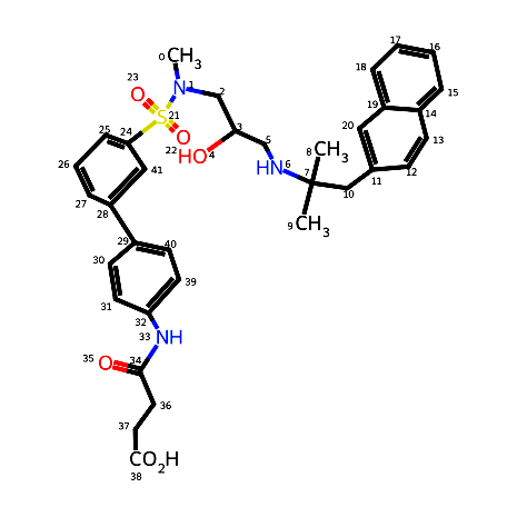 CN(CC(O)CNC(C)(C)Cc1ccc2ccccc2c1)S(=O)(=O)c1cccc(-c2ccc(NC(=O)CCC(=O)O)cc2)c1